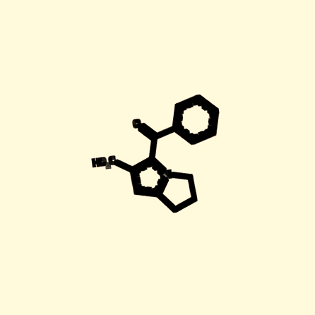 O=C(O)c1cc2n(c1C(=O)c1ccccc1)CCC2